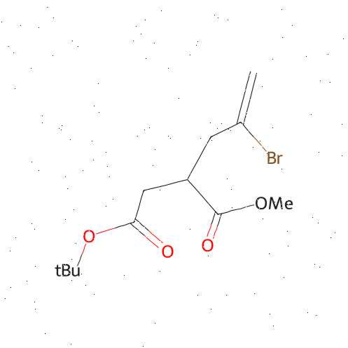 C=C(Br)CC(CC(=O)OC(C)(C)C)C(=O)OC